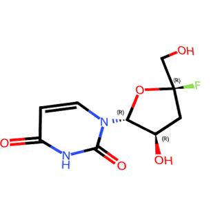 O=c1ccn([C@@H]2O[C@](F)(CO)C[C@H]2O)c(=O)[nH]1